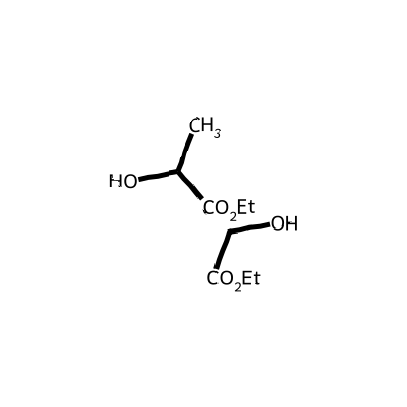 CCOC(=O)C(C)O.CCOC(=O)CO